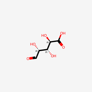 O=C[C@H](O)[C@@H](O)[C@@H](O)C(=O)O